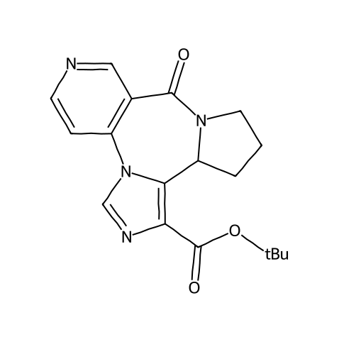 CC(C)(C)OC(=O)c1ncn2c1C1CCCN1C(=O)c1cnccc1-2